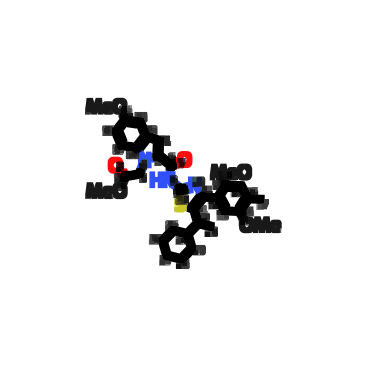 COC(=O)Cn1c(C(=O)Nc2nc(-c3cc(OC)c(C)cc3OC)c(C(C)C3CCCCC3)s2)cc2cc(OC)ccc21